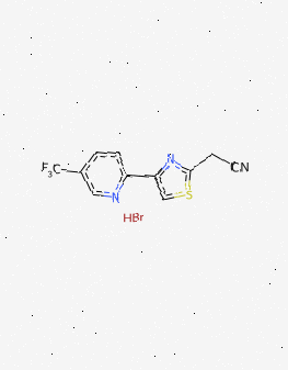 Br.N#CCc1nc(-c2ccc(C(F)(F)F)cn2)cs1